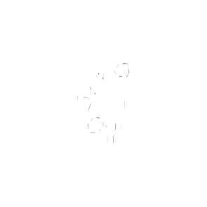 Cl.O=C(/C=C/c1ccc(O)c(O)c1)N1CCN(Cc2ccccc2)CC1